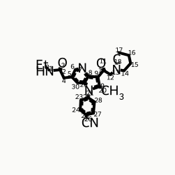 CCNC(=O)Cc1cnc2c(C(=O)CN3CCCCC3)c(C)n(-c3ccc(C#N)cc3)c2c1